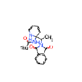 CC(N1C(=O)c2ccccc2C1=O)C1(NC(=O)C(C)(C)C)C=CC=CN1